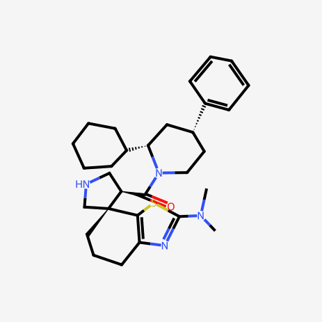 CN(C)c1nc2c(s1)[C@]1(CCC2)CNC[C@H]1C(=O)N1CC[C@@H](c2ccccc2)C[C@H]1C1CCCCC1